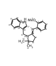 COc1ccccc1N=C1CCC(C)(C)N1Cc1c[nH]c2ccccc12